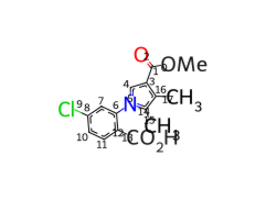 COC(=O)c1cn(-c2cc(Cl)ccc2C(=O)O)c(C)c1C